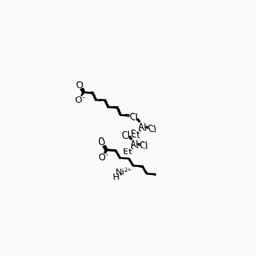 CCCCCCCC(=O)[O-].CCCCCCCC(=O)[O-].C[CH2][Al]([Cl])[Cl].C[CH2][Al]([Cl])[Cl].[H+].[Ni+2]